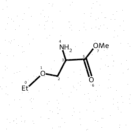 CCOC[C](N)C(=O)OC